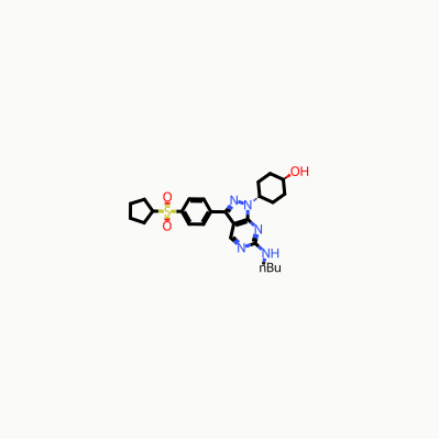 CCCCNc1ncc2c(-c3ccc(S(=O)(=O)C4CCCC4)cc3)nn([C@H]3CC[C@H](O)CC3)c2n1